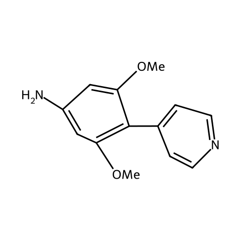 COc1cc(N)cc(OC)c1-c1ccncc1